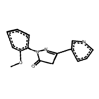 COc1ccccc1N1N=C(c2cccnc2)CC1=O